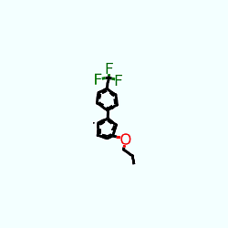 CCCOc1cc[c]c(-c2ccc(C(F)(F)F)cc2)c1